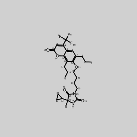 CCCc1cc2c(C(F)(F)F)cc(=O)oc2c(CCC)c1OCCCCN1C(=O)NC(C)(C2CC2)C1=O